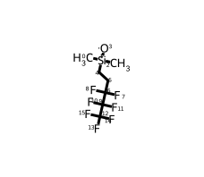 C[Si](C)([O])CCC(F)(F)C(F)(F)C(F)(F)F